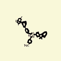 C[C@@H]1C[C@@H]2C[C@H](C)CC(c3ccc(-c4ccc(-c5nc(-c6ccc(C#N)cc6)nc(-c6ccc7c(c6)C(C)(C)c6ccccc6-7)n5)cc4)cc3)(C1)C2